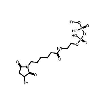 CC(C)OP(=O)(O)OP(=O)(O)OCCNC(=O)CCCCCN1C(=O)CC(C(C)C)C1=O